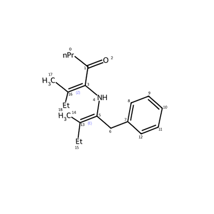 CCCC(=O)/C(N/C(Cc1ccccc1)=C(\C)CC)=C(\C)CC